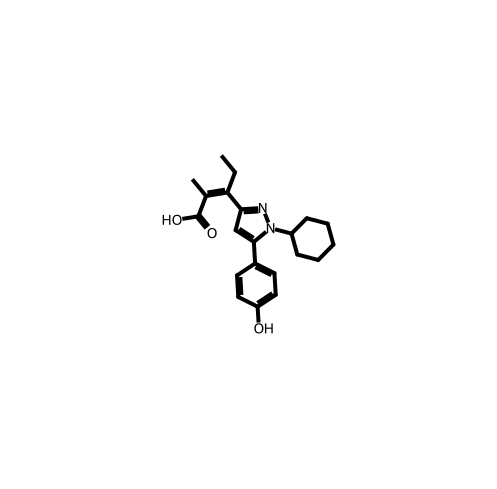 CCC(=C(C)C(=O)O)c1cc(-c2ccc(O)cc2)n(C2CCCCC2)n1